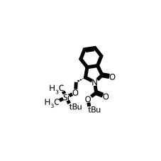 CC(C)(C)OC(=O)N1C(=O)C2CC=CCC2[C@H]1CO[Si](C)(C)C(C)(C)C